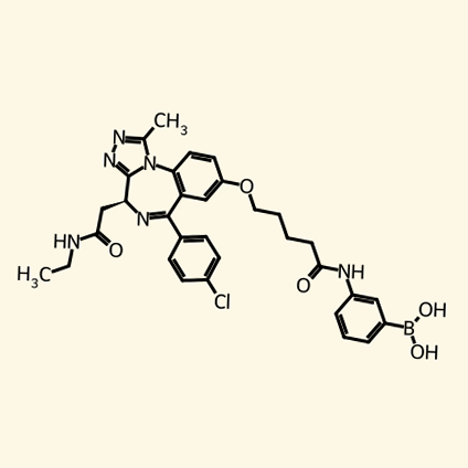 CCNC(=O)C[C@@H]1N=C(c2ccc(Cl)cc2)c2cc(OCCCCC(=O)Nc3cccc(B(O)O)c3)ccc2-n2c(C)nnc21